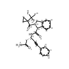 NC(=O)C[C@@H](C#Cc1ccncn1)NC(=O)[C@@H]1c2ccccc2CN1C(=O)C1(C(F)(F)F)CC1